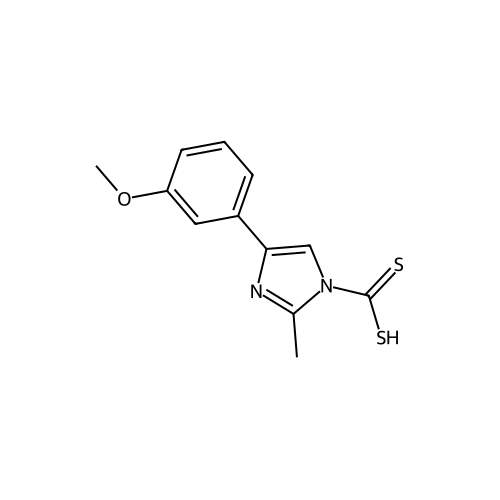 COc1cccc(-c2cn(C(=S)S)c(C)n2)c1